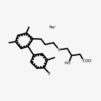 Cc1cc(C)c(CCCSCC(O)CC(=O)[O-])c(-c2ccc(F)c(C)c2)c1.[Na+]